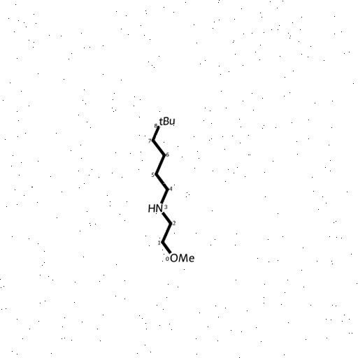 COCCNCCCCC(C)(C)C